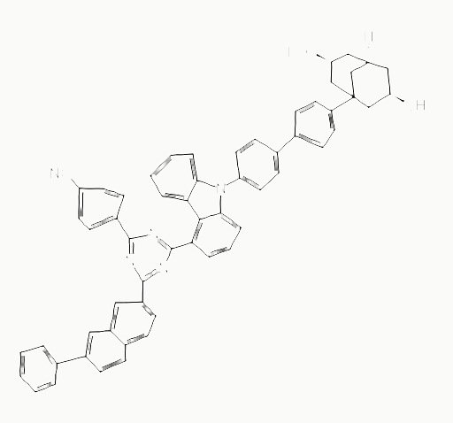 C[C@@H]1C[C@@H]2C[C@H](C)CC(c3ccc(-c4ccc(-n5c6ccccc6c6c(-c7nc(-c8ccc(C#N)cc8)nc(-c8ccc9ccc(-c%10ccccc%10)cc9c8)n7)cccc65)cc4)cc3)(C1)C2